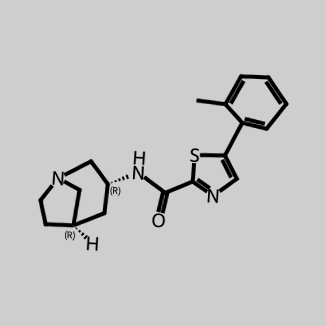 Cc1ccccc1-c1cnc(C(=O)N[C@@H]2C[C@H]3CCN(C3)C2)s1